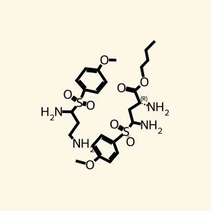 CCCCOC(=O)[C@H](N)CC(N)S(=O)(=O)c1ccc(OC)cc1.COc1ccc(S(=O)(=O)C(N)CCN)cc1